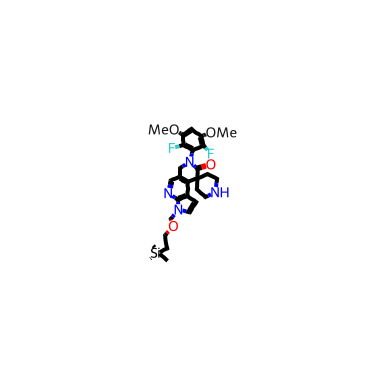 COc1cc(OC)c(F)c(N2Cc3cnc4c(ccn4COCC[Si](C)(C)C)c3C3(CCNCC3)C2=O)c1F